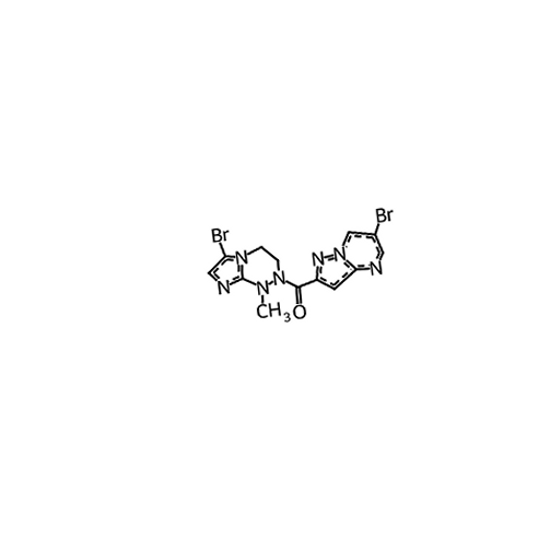 CN1c2ncc(Br)n2CCN1C(=O)c1cc2ncc(Br)cn2n1